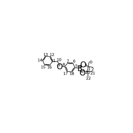 CC1(C)OB(c2ccc(OCc3ccccc3)cc2)OC1(C)C